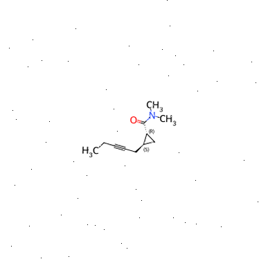 CCC#CC[C@@H]1C[C@H]1C(=O)N(C)C